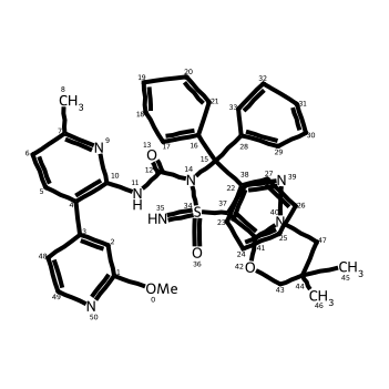 COc1cc(-c2ccc(C)nc2NC(=O)N(C(c2ccccc2)(c2ccccc2)c2ccccc2)S(=N)(=O)c2cnn3c2OCC(C)(C)C3)ccn1